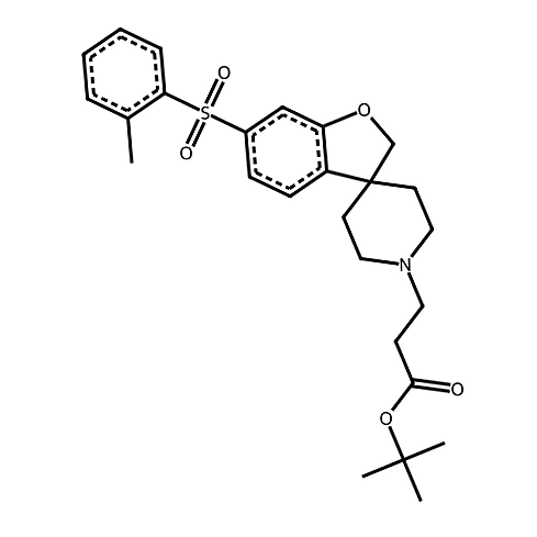 Cc1ccccc1S(=O)(=O)c1ccc2c(c1)OCC21CCN(CCC(=O)OC(C)(C)C)CC1